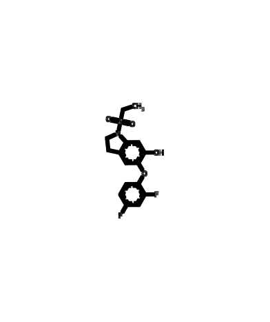 CCS(=O)(=O)N1CCc2cc(Oc3ccc(F)cc3F)c(O)cc21